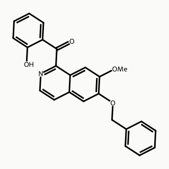 COc1cc2c(C(=O)c3ccccc3O)nccc2cc1OCc1ccccc1